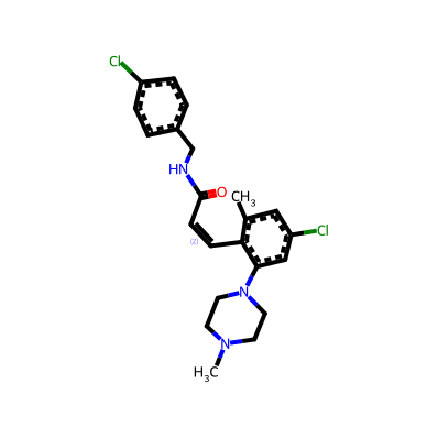 Cc1cc(Cl)cc(N2CCN(C)CC2)c1/C=C\C(=O)NCc1ccc(Cl)cc1